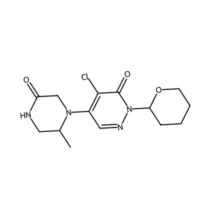 CC1CNC(=O)CN1c1cnn(C2CCCCO2)c(=O)c1Cl